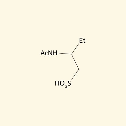 CCC(CS(=O)(=O)O)NC(C)=O